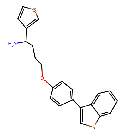 NC(CCCOc1ccc(-c2csc3ccccc23)cc1)c1ccsc1